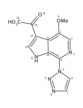 COc1cnc(-n2ccnn2)c2[nH]cc(C(=O)C(=O)O)c12